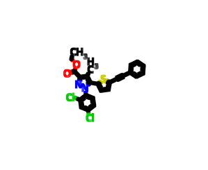 CCOC(=O)c1nn(-c2ccc(Cl)cc2Cl)c(-c2ccc(C#Cc3ccccc3)s2)c1C